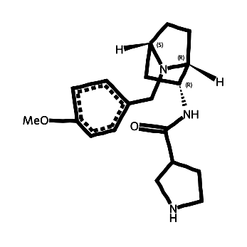 COc1ccc(CN2[C@H]3CC[C@@H]2[C@H](NC(=O)C2CCNC2)C3)cc1